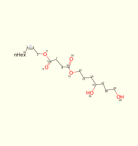 CCCCCC/C=C\COC(=O)CCC(=O)OCCCC(O)CCCO